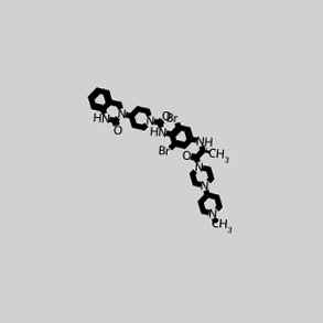 C[C@H](Nc1cc(Br)c(NC(=O)N2CCC(N3Cc4ccccc4NC3=O)CC2)c(Br)c1)C(=O)N1CCN(C2CCN(C)CC2)CC1